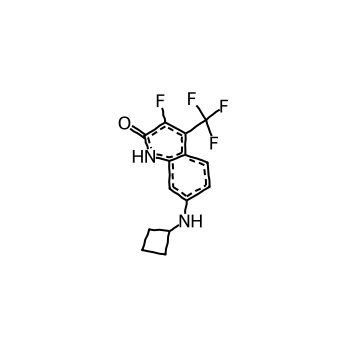 O=c1[nH]c2cc(NC3CCC3)ccc2c(C(F)(F)F)c1F